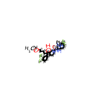 CCOCCCCC(O)(c1cccc(F)c1F)C1CCCN(C(=O)NC(CNC)CC2CCC(F)(F)CC2)C1